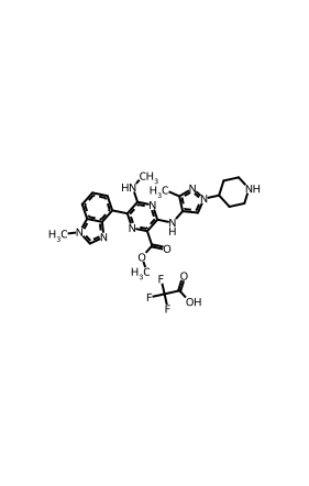 CNc1nc(Nc2cn(C3CCNCC3)nc2C)c(C(=O)OC)nc1-c1cccc2c1ncn2C.O=C(O)C(F)(F)F